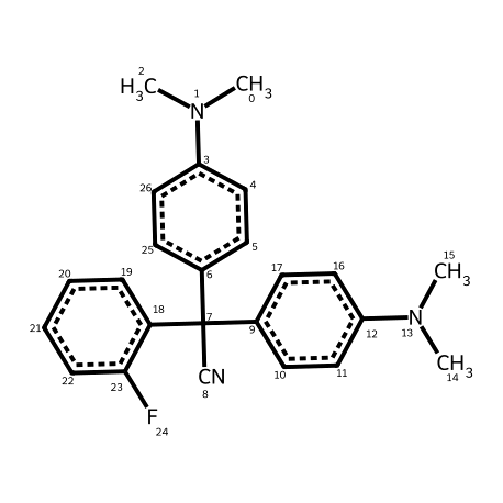 CN(C)c1ccc(C(C#N)(c2ccc(N(C)C)cc2)c2ccccc2F)cc1